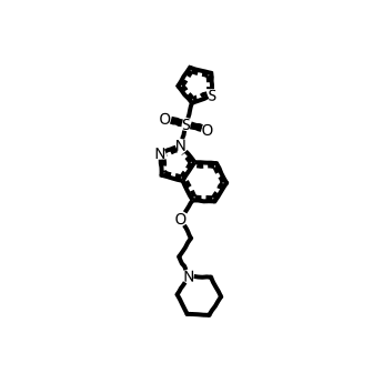 O=S(=O)(c1cccs1)n1ncc2c(OCCN3CCCCC3)cccc21